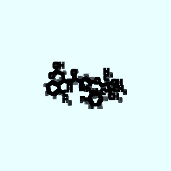 Cc1ccccc1C(CC(=O)O)NC(=O)c1cc(OC[C@@](C)(O)C(C)(C)C)n(-c2ccccc2F)n1